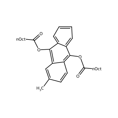 CCCCCCCCC(=O)Oc1c2ccccc2c(OC(=O)CCCCCCCC)c2cc(C)ccc12